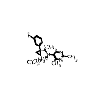 Cc1ncc(N(C)C(C)[C@@]2(c3cccc(F)c3)C[C@H]2C(=O)O)c(C)n1